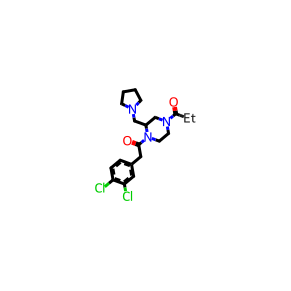 CCC(=O)N1CCN(C(=O)Cc2ccc(Cl)c(Cl)c2)C(CN2CCCC2)C1